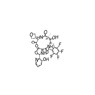 C[C@H]1OC(=O)C(C2COC2)NC(=O)[C@H](C)[C@H](O)[C@H](Cc2c(F)c(F)c(F)c(F)c2F)NC(=O)[C@H]1NC(=O)c1ncccc1O